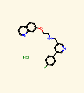 Cl.Fc1ccc(-c2cncc(CNCCOc3ccc4cccnc4c3)c2)cc1